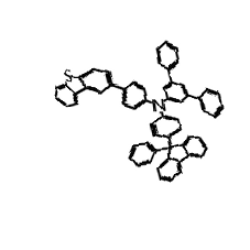 c1ccc(-c2cc(-c3ccccc3)cc(N(c3ccc(-c4ccc5sc6ccccc6c5c4)cc3)c3ccc(C4(c5ccccc5)c5ccccc5-c5ccccc54)cc3)c2)cc1